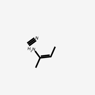 C#N.CC=C(C)N